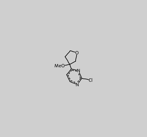 COC1(c2ccnc(Cl)n2)CCOC1